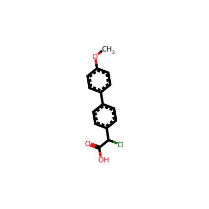 COc1ccc(-c2ccc(C(Cl)C(=O)O)cc2)cc1